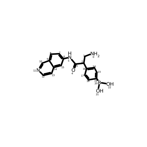 NCC(C(=O)Nc1ccc2cnccc2c1)c1ccc(B(O)O)cc1